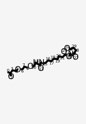 CC(=O)CCOCCCOCCC(=O)NCCCCCCCC(=O)ON1C(=O)CCC1=O